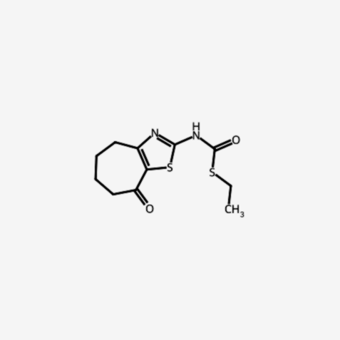 CCSC(=O)Nc1nc2c(s1)C(=O)CCCC2